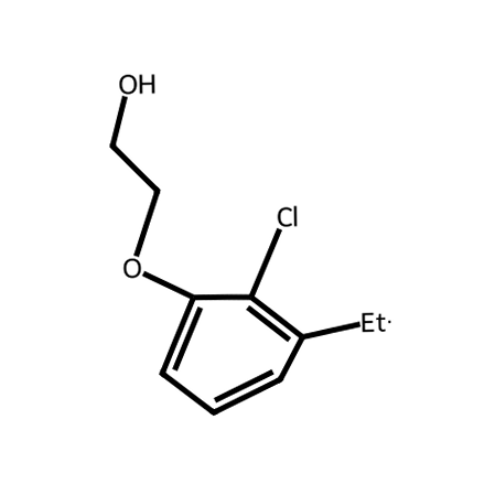 C[CH]c1cccc(OCCO)c1Cl